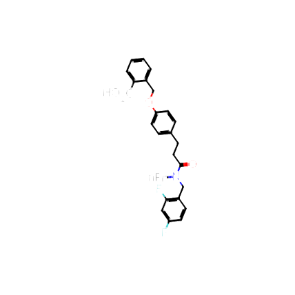 CCCN(Cc1ccc(F)cc1F)C(=O)CCc1ccc(OCc2ccccc2C(=O)O)cc1